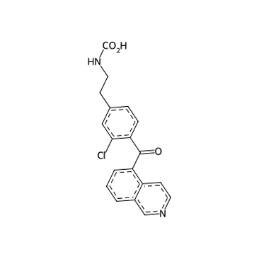 O=C(O)NCCc1ccc(C(=O)c2cccc3cnccc23)c(Cl)c1